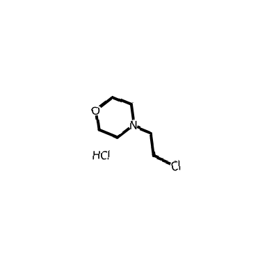 Cl.ClCCN1CCOCC1